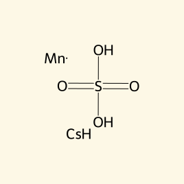 O=S(=O)(O)O.[CsH].[Mn]